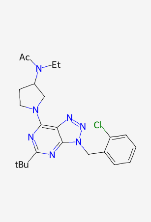 CCN(C(C)=O)C1CCN(c2nc(C(C)(C)C)nc3c2nnn3Cc2ccccc2Cl)C1